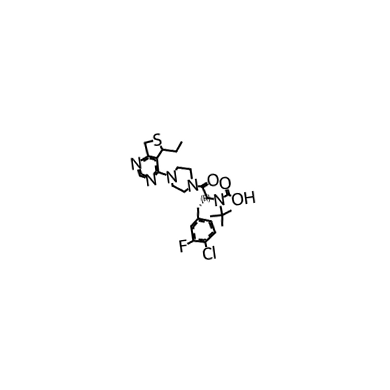 CCC1SCc2ncnc(N3CCN(C(=O)[C@@H](Cc4ccc(Cl)c(F)c4)N(C(=O)O)C(C)(C)C)CC3)c21